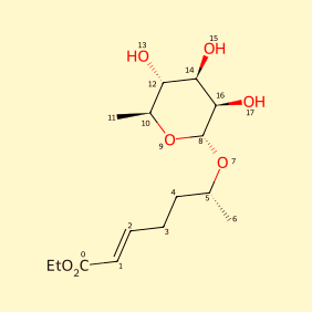 CCOC(=O)/C=C/CC[C@@H](C)O[C@@H]1O[C@@H](C)[C@H](O)[C@@H](O)[C@H]1O